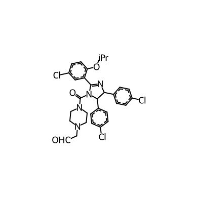 CC(C)Oc1ccc(Cl)cc1C1=NC(c2ccc(Cl)cc2)C(c2ccc(Cl)cc2)N1C(=O)N1CCN(CC=O)CC1